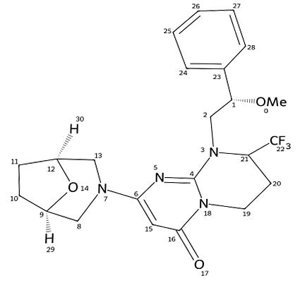 CO[C@H](CN1c2nc(N3C[C@H]4CC[C@@H](C3)O4)cc(=O)n2CCC1C(F)(F)F)c1ccccc1